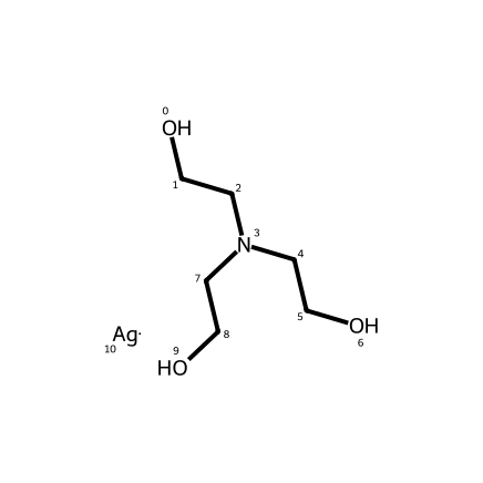 OCCN(CCO)CCO.[Ag]